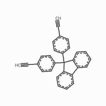 C#Cc1ccc(C2(c3ccc(C#C)cc3)c3ccccc3-c3ccccc32)cc1